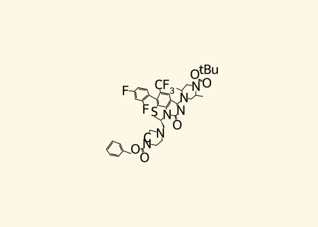 CC1CN(c2nc(=O)n3c4c(c(-c5ccc(F)cc5F)c(C(F)(F)F)cc24)SC[C@@H]3CN2CCN(C(=O)OCc3ccccc3)CC2)C(C)CN1C(=O)OC(C)(C)C